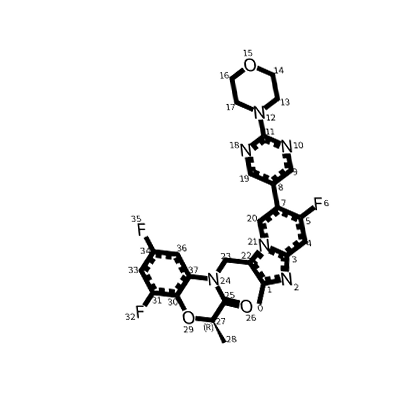 Cc1nc2cc(F)c(-c3cnc(N4CCOCC4)nc3)cn2c1CN1C(=O)[C@@H](C)Oc2c(F)cc(F)cc21